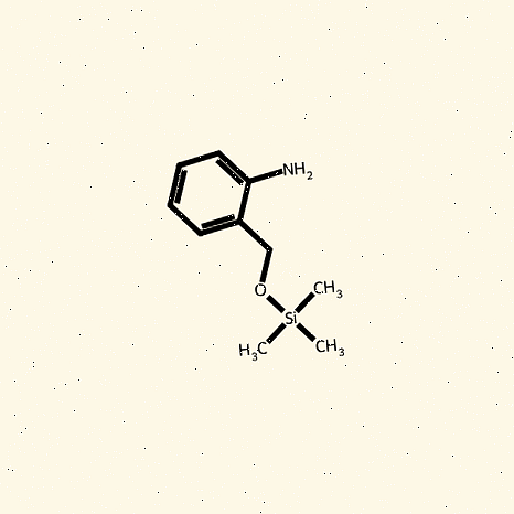 C[Si](C)(C)OCc1ccccc1N